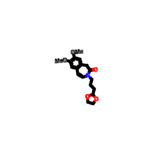 COc1cc2c(cc1OC)CC(=O)N(CCCC1OCCO1)C=C2